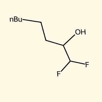 CCCCCCC(O)C(F)F